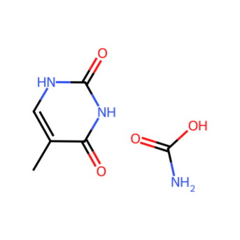 Cc1c[nH]c(=O)[nH]c1=O.NC(=O)O